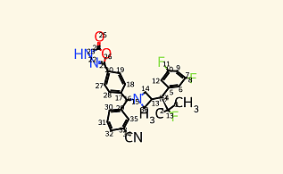 CC(C)(F)[C@H](c1cc(F)cc(F)c1)C1CN(C(c2ccc(-c3n[nH]c(=O)o3)cc2)c2cccc(C#N)c2)C1